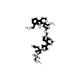 CCc1cccc2c3c([nH]c12)C(CC)(CC(=O)OCn1ccc2c(-c4cnn(C5(CC#N)CN(S(=O)(=O)CC)C5)c4)ncnc21)OCC3